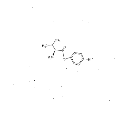 CC(C)[C@H](N)C(=O)Oc1ccc(Br)cc1